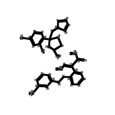 CCCC1COC(Cn2cncn2)(c2ccc(Cl)cc2Cl)O1.CO/C=C(/C(=O)OC)c1ccccc1COc1cccc(C(F)(F)F)n1